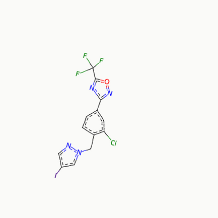 FC(F)(F)c1nc(-c2ccc(Cn3cc(I)cn3)c(Cl)c2)no1